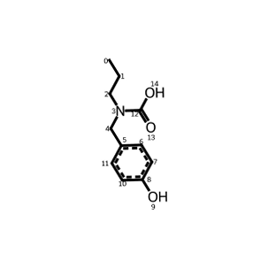 CCCN(Cc1ccc(O)cc1)C(=O)O